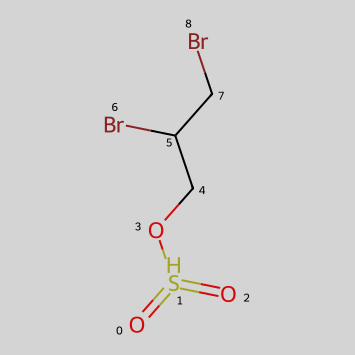 O=[SH](=O)OCC(Br)CBr